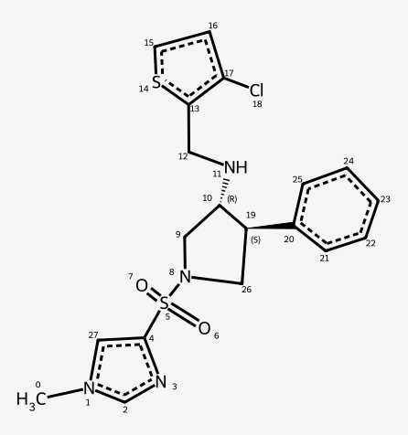 Cn1cnc(S(=O)(=O)N2C[C@H](NCc3sccc3Cl)[C@@H](c3ccccc3)C2)c1